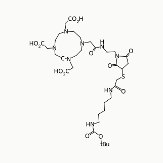 CC(C)(C)OC(=O)NCCCCCNC(=O)CSC1CC(=O)N(CCNC(=O)CN2CCN(CC(=O)O)CCN(CC(=O)O)CCN(CC(=O)O)CC2)C1=O